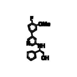 COc1cc(-c2cncc(N[C@@H](CO)c3ccccc3)c2)ccc1F